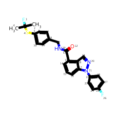 CC(C)(F)Sc1ccc(CNC(=O)c2cccc3c2cnn3-c2ccc(F)cc2)cc1